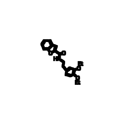 CCOc1ccc(CCNC(=O)c2cc3ccccc3o2)cc1OCC